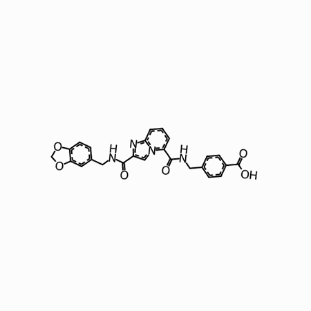 O=C(O)c1ccc(CNC(=O)c2cccc3nc(C(=O)NCc4ccc5c(c4)OCO5)cn23)cc1